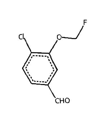 O=Cc1ccc(Cl)c(OCF)c1